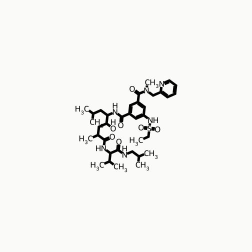 CCS(=O)(=O)Nc1cc(C(=O)NC(CC(C)C)C(O)CC(C)C(=O)NC(C(=O)NCC(C)C)C(C)C)cc(C(=O)N(C)Cc2ccccn2)c1